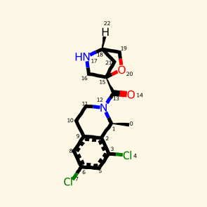 C[C@H]1c2c(Cl)cc(Cl)cc2CCN1C(=O)[C@]12CN[C@H](CO1)C2